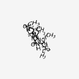 CCCOc1ncc(C(C)=O)cc1-c1nc2c(CC)n(C3CCN(C(C)=O)CC3)nc2c(=O)[nH]1